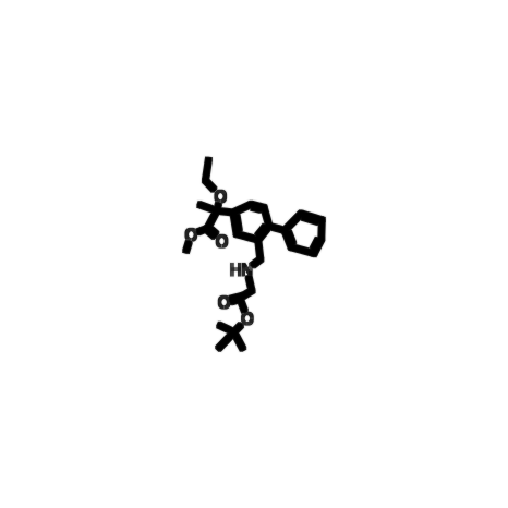 CCOC(C)(C(=O)OC)c1ccc(-c2ccccc2)c(CNCC(=O)OC(C)(C)C)c1